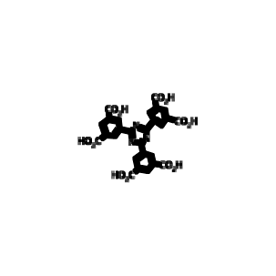 O=C(O)c1cc(C(=O)O)cc(-c2nc(-c3cc(C(=O)O)cc(C(=O)O)c3)nc(-c3cc(C(=O)O)cc(C(=O)O)c3)n2)c1